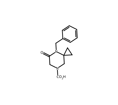 O=C(O)N1CC(=O)N(Cc2ccccc2)C2(CC2)C1